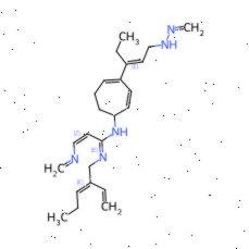 C=C/C(=C\CC)C/N=C(\C=C/N=C)NC1C=CC(/C(=C/CNN=C)CC)=CCC1